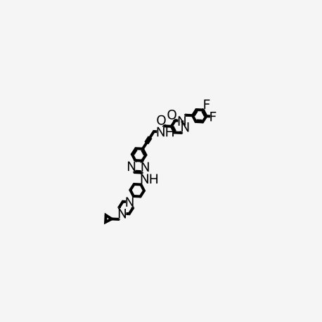 O=C(NCC#Cc1ccc2ncc(N[C@H]3CC[C@H](N4CCN(CC5CC5)CC4)CC3)nc2c1)c1ccnn(Cc2ccc(F)c(F)c2)c1=O